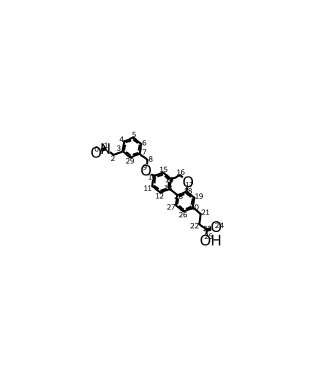 O=NCc1cccc(COc2ccc3c(c2)COc2cc(CCC(=O)O)ccc2-3)c1